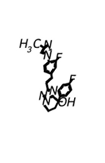 Cc1cn(-c2ccc(/C=C/c3nc4n(n3)CCC[C@@]4(O)c3ccc(F)cc3)cc2F)cn1